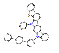 c1ccc(-c2ccc(-c3cccc(-n4c5ccccc5c5cc6c7ccc8c9ccccc9sc8c7n(-c7ccccc7)c6cc54)c3)cc2)cc1